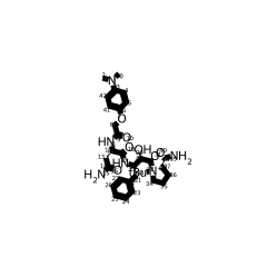 CN(C)c1ccc(OCC(=O)N[C@@H](CC(N)=O)C(=O)N[C@@H](Cc2ccccc2)[C@H](O)C(=O)[N+]2(C(C)(C)C)CCC[C@H]2C(N)=O)cc1